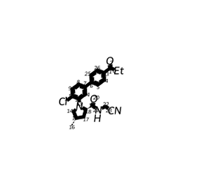 CCC(=O)c1ccc(-c2ccc(Cl)c(N3C[C@@H](C)C[C@H]3C(=O)NCC#N)c2)cc1